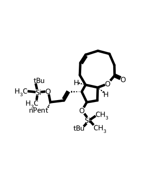 CCCCC[C@@H](/C=C/[C@H]1C(O[Si](C)(C)C(C)(C)C)C[C@@H]2OC(=O)CCC/C=C\C[C@@H]21)O[Si](C)(C)C(C)(C)C